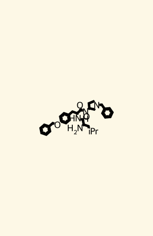 CC(C)CC(N)C(=O)NC(Cc1ccc(OCc2ccccc2)cc1)C(=O)NC1CCN(Cc2ccccc2)C1